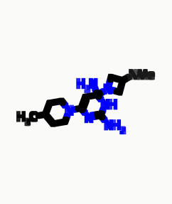 CNC1CN(C2(N)C=C(N3CCC(C)CC3)N=C(N)N2)C1